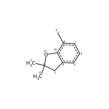 CC1(C)Cc2cccc(I)c2O1